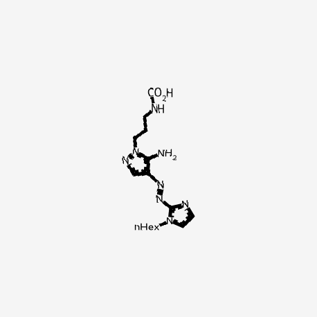 CCCCCCn1ccnc1N=Nc1cnn(CCCNC(=O)O)c1N